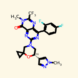 Cn1cc([C@H]2CN(c3nc(-c4ccc(F)cc4F)c4nc(C(F)(F)F)n(C)c(=O)c4n3)CC3(CC3)O2)cn1